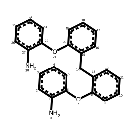 Nc1ccccc1Oc1ccccc1Cc1ccccc1Oc1ccccc1N